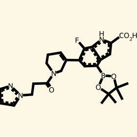 CC1(C)OB(c2cc(C3=CCCN(C(=O)CCn4cccn4)C3)c(F)c3[nH]c(C(=O)O)cc23)OC1(C)C